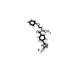 CN(CCOc1ccccc1)C(=O)c1ccc(-c2noc(C(F)(F)F)n2)cc1